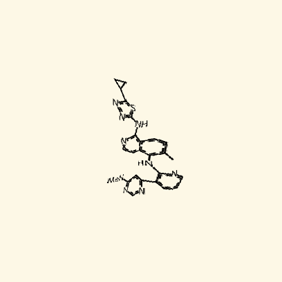 CNc1cc(-c2cccnc2Nc2c(C)ccc3c(Nc4nnc(C5CC5)s4)nccc23)ncn1